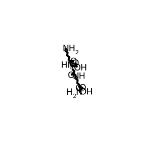 NCCCCCC(=O)N[C@@H](CCC(=O)NCCCCOP(N)(=O)O)C(=O)O